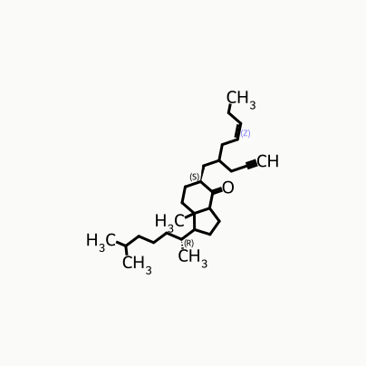 C#CCC(C/C=C\CC)C[C@@H]1CCC2(C)C(CCC2[C@H](C)CCCC(C)C)C1=O